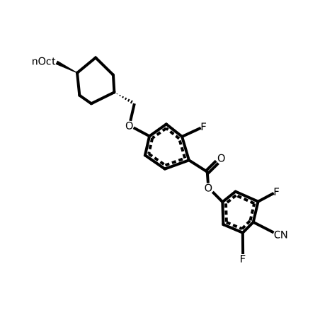 CCCCCCCC[C@H]1CC[C@H](COc2ccc(C(=O)Oc3cc(F)c(C#N)c(F)c3)c(F)c2)CC1